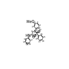 COc1ccc(C)c(N(CC(=O)Nc2ccncc2)S(=O)(=O)c2ccccc2)c1